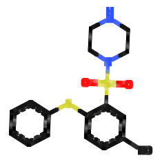 O=Nc1ccc(Sc2ccccc2)c(S(=O)(=O)N2CCNCC2)c1